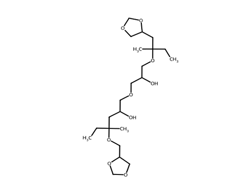 CCC(C)(CC(O)COCC(O)COC(C)(CC)CC1COCO1)OCC1COCO1